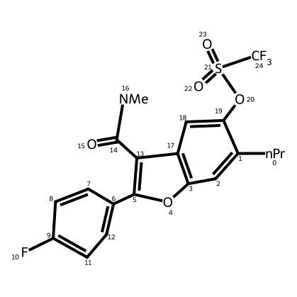 [CH2]CCc1cc2oc(-c3ccc(F)cc3)c(C(=O)NC)c2cc1OS(=O)(=O)C(F)(F)F